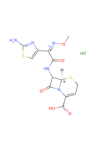 CO/N=C(\C(=O)NC1C(=O)N2C(C(=O)O)=CCS[C@H]12)c1csc(N)n1.Cl